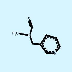 CN([C]=S)Cc1cccnc1